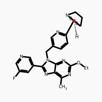 CCOc1nc(C)c2nc(-c3cncc(F)c3)n(Cc3ccc([C@@H]4CN5CCC4CC5)nc3)c2n1